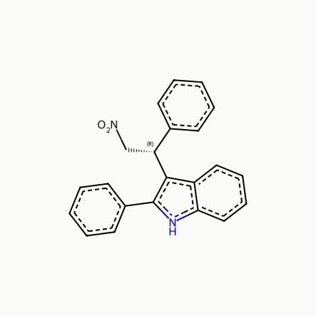 O=[N+]([O-])C[C@H](c1ccccc1)c1c(-c2ccccc2)[nH]c2ccccc12